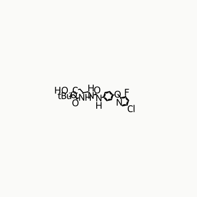 CC(C)(C)OC(=O)NC(CNC(=O)Nc1ccc(Oc2ncc(Cl)cc2F)cc1)CC(=O)O